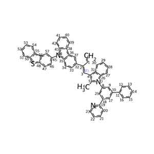 C=C/C(=C\c1c(C)n(-c2cc(-c3ccccc3)cc(-c3ccccn3)c2)c2ccccc12)c1ccc2c(c1)c1ccccc1n2-c1ccc2sc3ccccc3c2c1